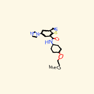 COCCOC1CCC(NC(=O)c2cc(-n3ccnc3)cc3cnsc23)CC1